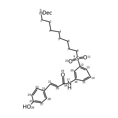 CCCCCCCCCCCCCCCCCCS(=O)(=O)c1cccc(NC(=O)C=Cc2ccc(O)cc2)c1